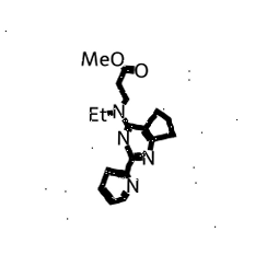 CCN(CCC(=O)OC)c1nc(-c2ccccn2)nc2c1CCC2